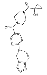 O=C(c1ccc(N2C=Cc3occc3C2)cc1)N1CCN(C(=O)C2(O)CC2)CC1